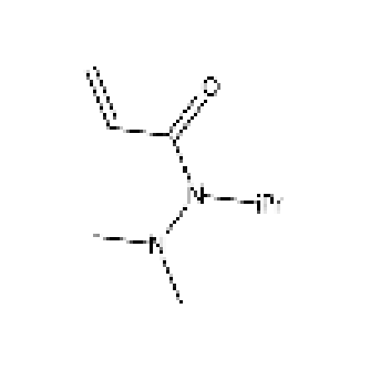 C=CC(=O)N(C(C)C)N(C)C